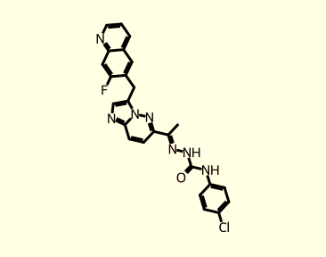 C/C(=N\NC(=O)Nc1ccc(Cl)cc1)c1ccc2ncc(Cc3cc4cccnc4cc3F)n2n1